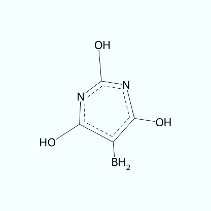 Bc1c(O)nc(O)nc1O